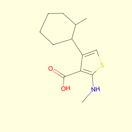 CNc1scc(C2CCCCC2C)c1C(=O)O